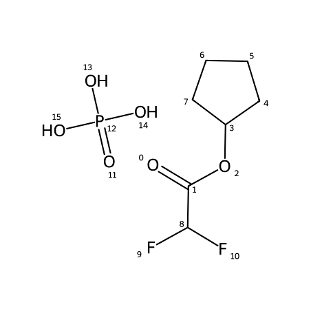 O=C(OC1CCCC1)C(F)F.O=P(O)(O)O